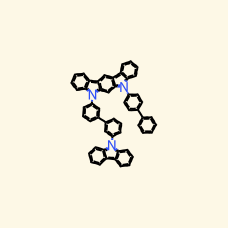 c1ccc(-c2ccc(-n3c4ccccc4c4cc5c6ccccc6n(-c6cccc(-c7cccc(-n8c9ccccc9c9ccccc98)c7)c6)c5cc43)cc2)cc1